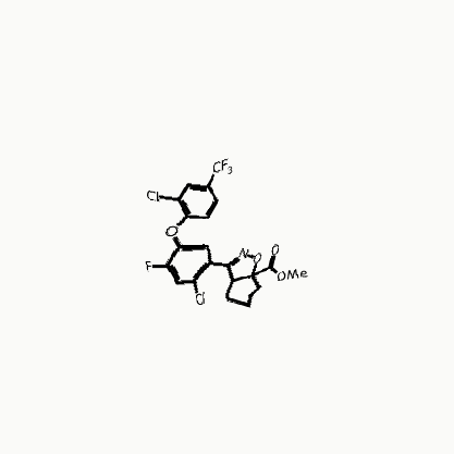 COC(=O)C12CCCC1C(c1cc(Oc3ccc(C(F)(F)F)cc3Cl)c(F)cc1Cl)=NO2